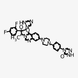 C[C@@H](n1cnc2cc(N3CCN(c4ccc(-n5cn[nH]c5=O)cc4)CC3)ccc2c1=O)[C@](O)(Cn1cncn1)c1ccc(F)cc1F